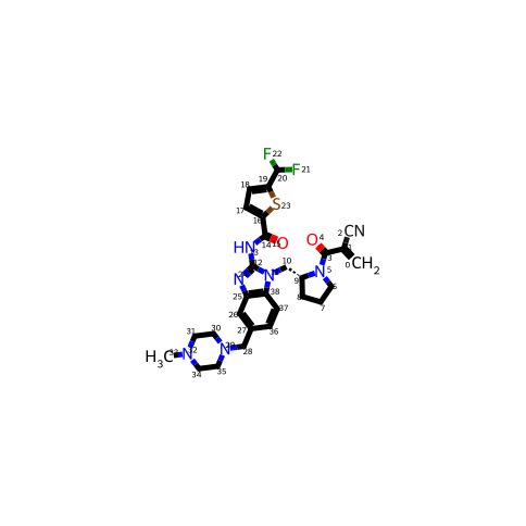 C=C(C#N)C(=O)N1CCC[C@@H]1Cn1c(NC(=O)c2ccc(C(F)F)s2)nc2cc(CN3CCN(C)CC3)ccc21